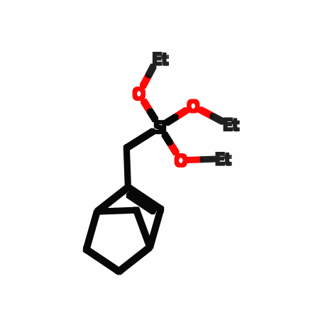 CCO[Si](CC1=CC2CCC1C2)(OCC)OCC